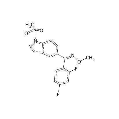 CON=C(c1ccc2c(cnn2S(C)(=O)=O)c1)c1ccc(F)cc1F